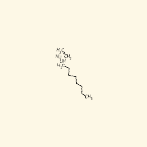 C=C.[CH2]CCCCCCC.[LiH].[LiH]